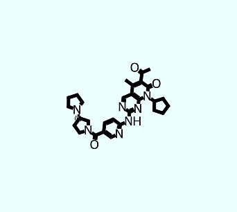 CC(=O)c1c(C)c2cnc(Nc3ccc(C(=O)N4CC[C@@H](N5CCCC5)C4)cn3)nc2n(C2CCCC2)c1=O